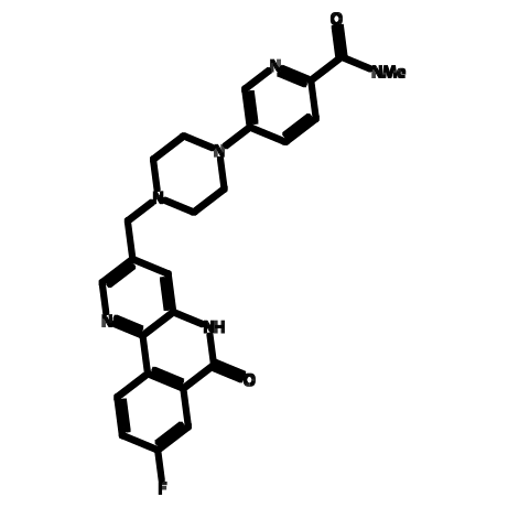 CNC(=O)c1ccc(N2CCN(Cc3cnc4c(c3)[nH]c(=O)c3cc(F)ccc34)CC2)cn1